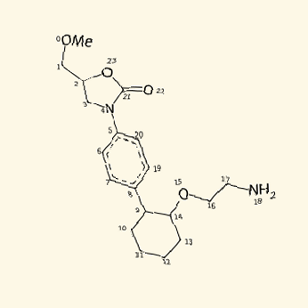 COCC1CN(c2ccc(C3CCCCC3OCCN)cc2)C(=O)O1